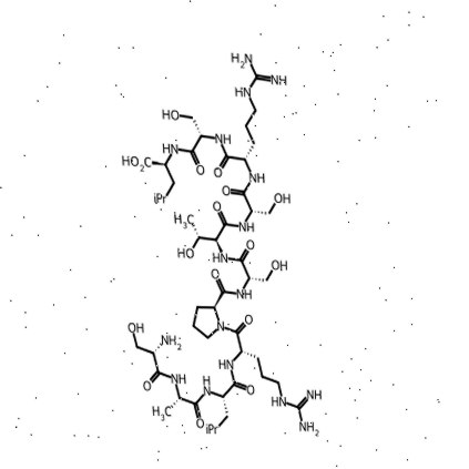 CC(C)C[C@H](NC(=O)[C@H](CO)NC(=O)[C@H](CCCNC(=N)N)NC(=O)[C@H](CO)NC(=O)[C@@H](NC(=O)[C@H](CO)NC(=O)[C@@H]1CCCN1C(=O)[C@H](CCCNC(=N)N)NC(=O)[C@H](CC(C)C)NC(=O)[C@H](C)NC(=O)[C@@H](N)CO)[C@@H](C)O)C(=O)O